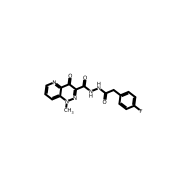 Cn1nc(C(=O)NNC(=O)Cc2ccc(F)cc2)c(=O)c2ncccc21